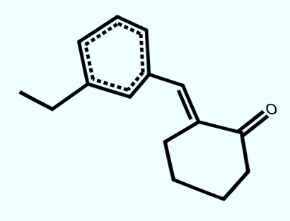 CCc1cccc(C=C2CCCCC2=O)c1